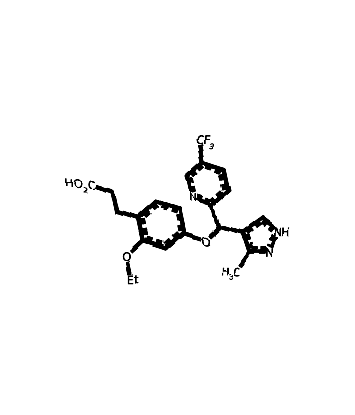 CCOc1cc(OC(c2ccc(C(F)(F)F)cn2)c2c[nH]nc2C)ccc1CCC(=O)O